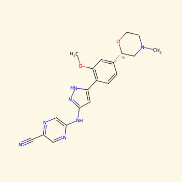 COc1cc([C@H]2CN(C)CCO2)ccc1-c1cc(Nc2cnc(C#N)cn2)n[nH]1